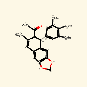 COC(=O)[C@@H]1C(C(=O)O)=Cc2cc3c(cc2[C@H]1c1cc(OC)c(OC)c(OC)c1)OCO3